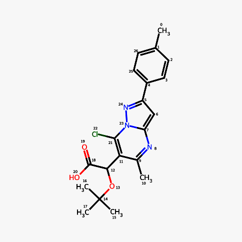 Cc1ccc(-c2cc3nc(C)c(C(OC(C)(C)C)C(=O)O)c(Cl)n3n2)cc1